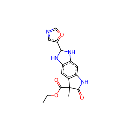 CCOC(=O)C1(C)C(=O)Nc2cc3c(cc21)NC(c1cnco1)N3